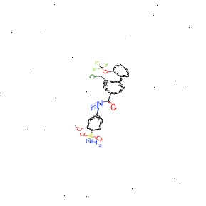 COc1cc(NC(=O)c2ccc(-c3ccccc3OC(F)(F)F)c(CCl)c2)ccc1S(N)(=O)=O